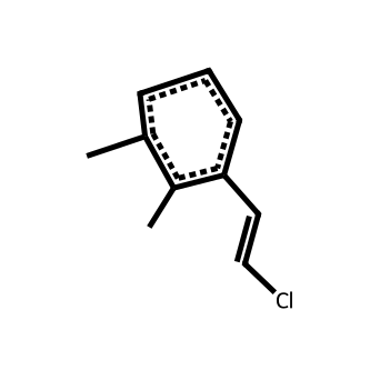 Cc1cccc(C=CCl)c1C